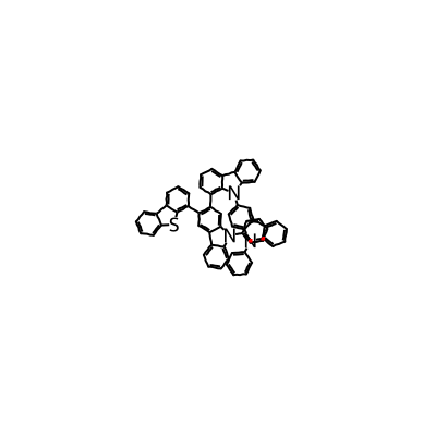 c1ccc(-n2c3ccccc3c3cc(-n4c5ccccc5c5cccc(-c6cc7c(cc6-c6cccc8c6sc6ccccc68)c6ccccc6n7-c6ccccc6)c54)ccc32)cc1